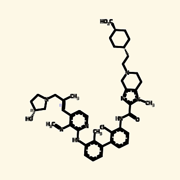 C=Nc1c(/C=C(\C)CN2CC[C@@H](O)C2)ccnc1Nc1cccc(-c2cccc(NC(=O)c3nc4c(n3C)CCN(CC[C@H]3CC[C@H](C(=O)O)CC3)C4)c2Cl)c1C